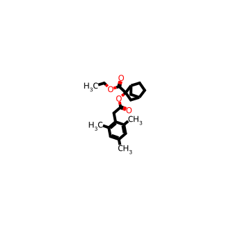 CCOC(=O)C1(OC(=O)Cc2c(C)cc(C)cc2C)CC2CCC1C2